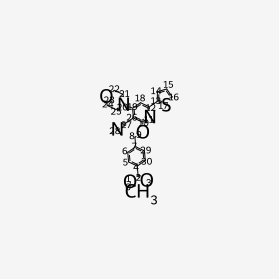 COC(=O)c1ccc(COc2nc(-c3cccs3)cc(N3CCOCC3)c2C#N)cc1